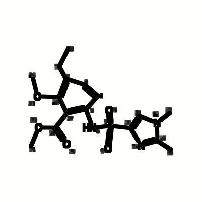 CCc1ccc(NS(=O)(=O)c2cn(C)c(C)n2)c(C(=O)OC)c1OC